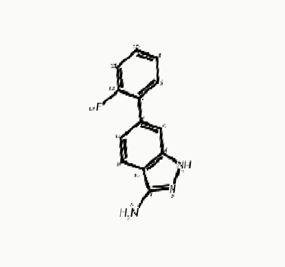 Nc1n[nH]c2cc(-c3ccccc3F)ccc12